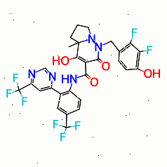 CC12CCCN1N(Cc1ccc(O)c(F)c1F)C(=O)C(C(=O)Nc1ccc(C(F)(F)F)cc1-c1cc(C(F)(F)F)ncn1)=C2O